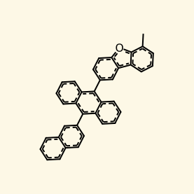 Cc1cccc2c1oc1ccc(-c3c4ccccc4c(-c4ccc5ccccc5c4)c4ccccc34)cc12